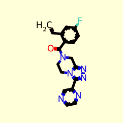 C=Cc1cc(F)ccc1C(=O)N1CCn2c(nnc2-c2cnccn2)C1